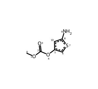 COC(=O)Oc1csc(N)c1